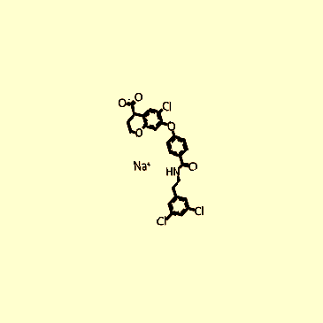 O=C(NCCc1cc(Cl)cc(Cl)c1)c1ccc(Oc2cc3c(cc2Cl)C(C(=O)[O-])CCO3)cc1.[Na+]